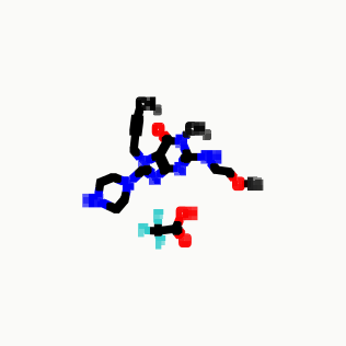 CC#CCn1c(N2CCNCC2)nc2nc(NCCOCC)n(C)c(=O)c21.O=C(O)C(F)(F)F